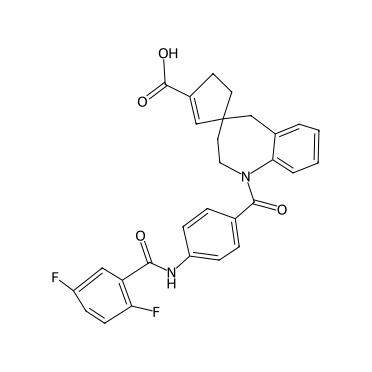 O=C(O)C1=CC2(CC1)CCN(C(=O)c1ccc(NC(=O)c3cc(F)ccc3F)cc1)c1ccccc1C2